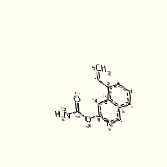 C=Cc1cccc2cnc(OC(N)=O)cc12